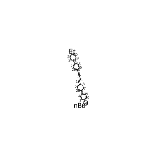 CCCCOc1ccc([C@H]2CC[C@H](C=CC#Cc3ccc([C@H]4CC[C@H](CC)CC4)cc3)CC2)cc1